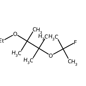 CCOC(C)(C)C(C)(C)OC(C)(C)F